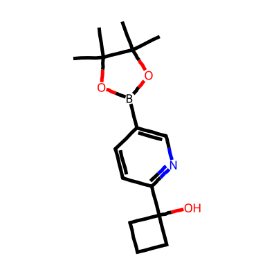 CC1(C)OB(c2ccc(C3(O)CCC3)nc2)OC1(C)C